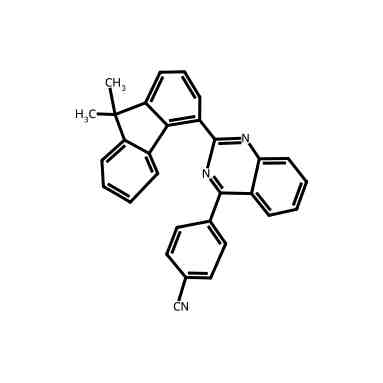 CC1(C)c2ccccc2-c2c(-c3nc(-c4ccc(C#N)cc4)c4ccccc4n3)cccc21